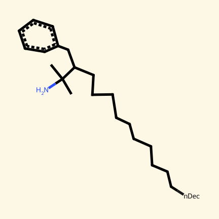 CCCCCCCCCCCCCCCCCCCCC(Cc1ccccc1)C(C)(C)N